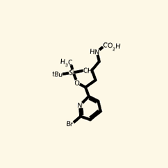 CC(C)(C)[Si](C)(C)OC(CCCNC(=O)O)c1cccc(Br)n1